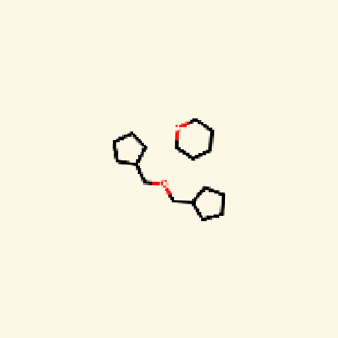 C1CCC(COCC2CCCC2)C1.C1CCOCC1